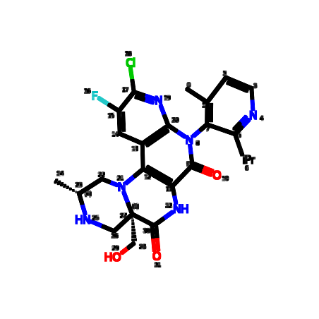 Cc1ccnc(C(C)C)c1-n1c(=O)c2c(c3cc(F)c(Cl)nc31)N1C[C@@H](C)NC[C@]1(CO)C(=O)N2